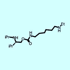 CCNCCCCCCNC(=O)OC[C@H](NC(C)C)C(C)C